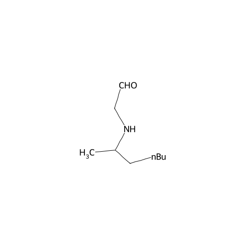 CCCCCC(C)NCC=O